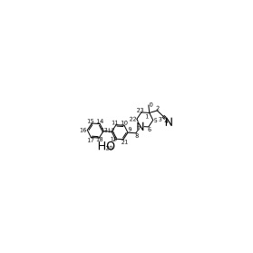 CC1(CC#N)CCN(Cc2ccc(-c3ccccc3)c(O)c2)CC1